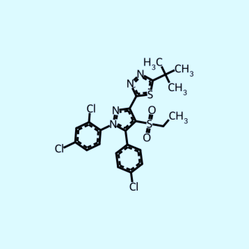 CCS(=O)(=O)c1c(-c2nnc(C(C)(C)C)s2)nn(-c2ccc(Cl)cc2Cl)c1-c1ccc(Cl)cc1